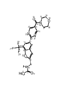 O=C(O)NCc1cc2cc(-c3ncc(C(=O)N4CCOCC4)cn3)cc(C(F)(F)F)c2o1